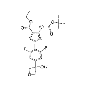 CCOC(=O)c1nc(-c2c(F)cc(C3(O)COC3)cc2F)sc1NC(=O)OC(C)(C)C